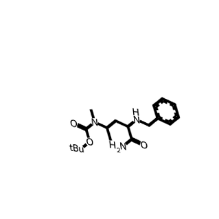 CC(CC(NCc1ccccc1)C(N)=O)N(C)C(=O)OC(C)(C)C